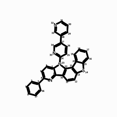 c1ccc(-c2ccc3c(n2)c2ccc4sc5ccccc5c4c2n3-c2ccc(-c3cccnc3)cn2)cc1